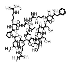 CC(C)C[C@H](NC(=O)[C@H](CCCNC(=N)N)NC(=O)[C@H](CC(=O)O)NC(=O)[C@H](CO)NC(=O)[C@H](CO)NC(=O)[C@H](CCCNC(=N)N)NC(=O)[C@H](CS)NC(=O)[C@H](CCCNC(=N)N)NC(=O)[C@@H](N)Cc1ccccc1)C(=O)N1CCC[C@H]1C(=O)N[C@@H](CCCNC(=N)N)C(=O)O